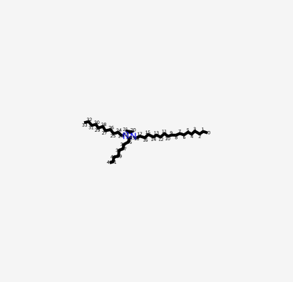 CCCCCCCCCCCCCCCCCCCN1C=CN(CCCCCCCCCCC)C1CCCCCCCC